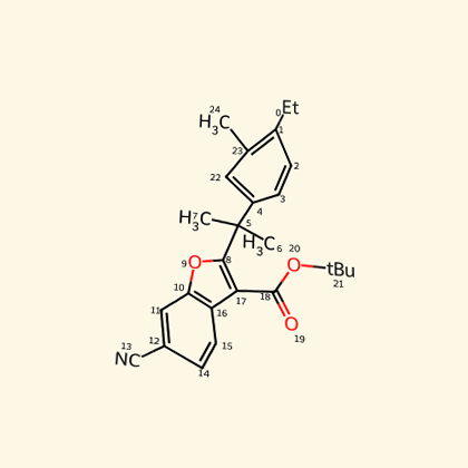 CCc1ccc(C(C)(C)c2oc3cc(C#N)ccc3c2C(=O)OC(C)(C)C)cc1C